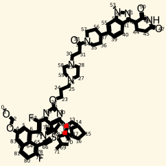 COCOc1cc(-c2ncc3c(N4CC5CCC(C5)C4)nc(OCCCN4CCN(CCC(=O)N5CCC(c6ccc7c(C8CCC(=O)NC8=O)nn(C)c7c6)CC5)CC4)nc3c2F)c2c(C#C[Si](C(C)C)(C(C)C)C(C)C)c(F)ccc2c1